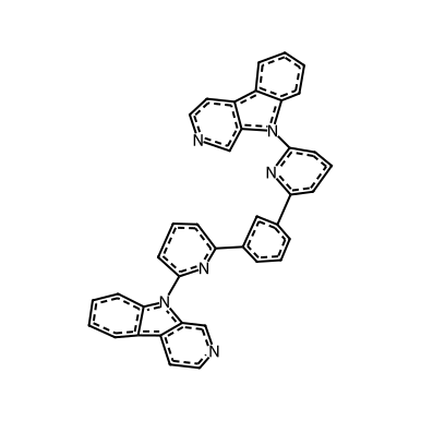 c1cc(-c2cccc(-n3c4ccccc4c4ccncc43)n2)cc(-c2cccc(-n3c4ccccc4c4ccncc43)n2)c1